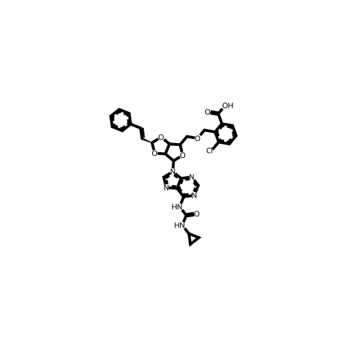 O=C(Nc1ncnc2c1ncn2C1OC(COCc2c(Cl)cccc2C(=O)O)C2O[C@H](/C=C/c3ccccc3)OC21)NC1CC1